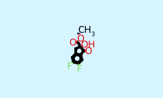 CCOC(=O)C1(O)Cc2cc(F)c(F)cc2C1=O